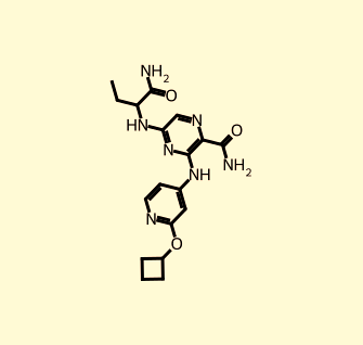 CCC(Nc1cnc(C(N)=O)c(Nc2ccnc(OC3CCC3)c2)n1)C(N)=O